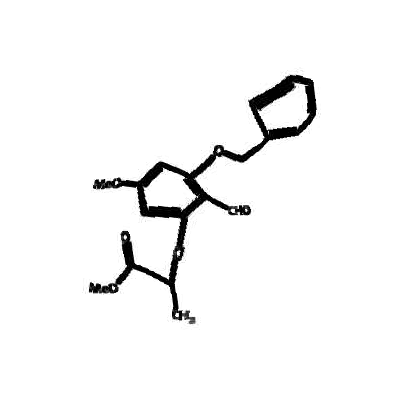 COC(=O)C(C)Oc1cc(OC)cc(OCc2ccccc2)c1C=O